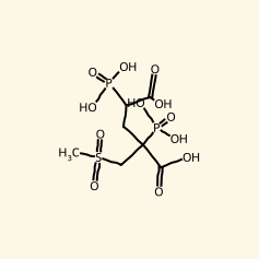 CS(=O)(=O)CC(CC(C(=O)O)P(=O)(O)O)(C(=O)O)P(=O)(O)O